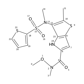 CON(C)C(=O)c1cc2sc(C)c(N(C)S(=O)(=O)c3cccs3)c2[nH]1